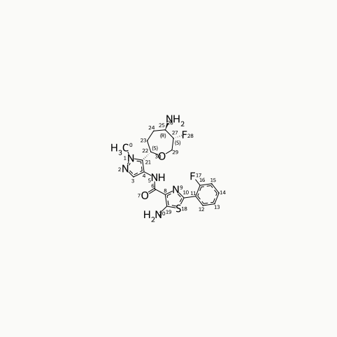 Cn1ncc(NC(=O)c2nc(-c3ccccc3F)sc2N)c1[C@@H]1CC[C@@H](N)[C@H](F)CO1